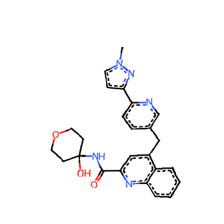 Cn1ccc(-c2ccc(Cc3cc(C(=O)NC4(O)CCOCC4)nc4ccccc34)cn2)n1